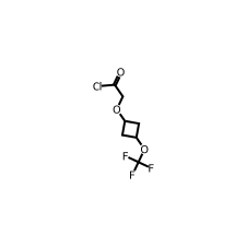 O=C(Cl)COC1CC(OC(F)(F)F)C1